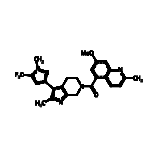 COc1cc(C(=O)N2CCc3c(nn(C)c3-c3cc(C(F)(F)F)n(C)n3)C2)c2ccc(C)nc2c1